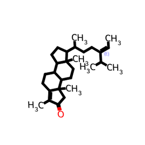 C/C=C(\CCC(C)C1CCC2C3CCC4=C(C)C(=O)CC4(C)C3CCC12C)C(C)C